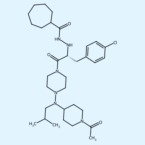 CC(=O)N1CCC(N(CC(C)C)N2CCN(C(=O)[C@@H](Cc3ccc(Cl)cc3)NNC(=O)C3CCCCCC3)CC2)CC1